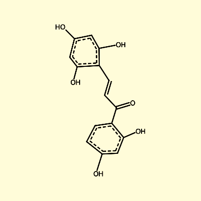 O=C(C=Cc1c(O)cc(O)cc1O)c1ccc(O)cc1O